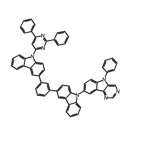 c1ccc(-c2cc(-n3c4ccccc4c4cc(-c5cccc(-c6ccc7c(c6)c6ccccc6n7-c6ccc7c(c6)c6ncncc6n7-c6ccccc6)c5)ccc43)nc(-c3ccccc3)n2)cc1